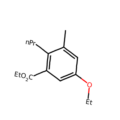 CCCc1c(C)cc(OCC)cc1C(=O)OCC